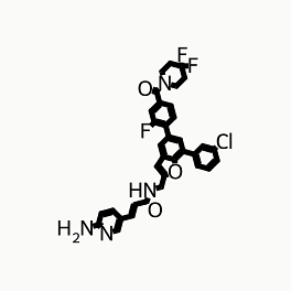 Nc1ccc(C=CC(=O)NCc2cc3cc(-c4ccc(C(=O)N5CCC(F)(F)CC5)cc4F)cc(-c4cccc(Cl)c4)c3o2)cn1